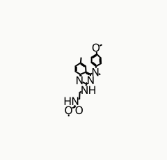 COC(=O)NCCNc1nc(N(C)c2ccc(OC)cc2)c2cc(C)ccc2n1